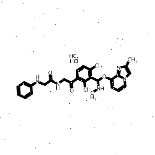 CNC(Oc1cccn2cc(C)nc12)c1c(Cl)ccc(C(=O)CNC(=O)CNc2ccccc2)c1Cl.Cl.Cl